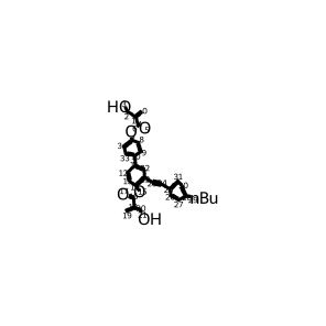 C=C(CO)C(=O)Oc1ccc(-c2ccc(OC(=O)C(=C)CO)c(C#Cc3ccc(CCCC)cc3)c2)cc1